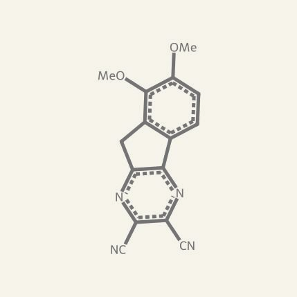 COc1ccc2c(c1OC)Cc1nc(C#N)c(C#N)nc1-2